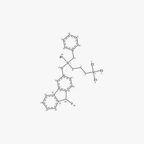 CC[Si](CC)(CC)CCC[Si](Cc1ccccc1)(Oc1ccc2c(c1)-c1ccc[c]c1C2F)C(C)C